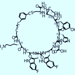 CC(C)[C@H]1C(=O)N[C@H](C(N)=O)CSCc2cccc(c2)CSCCC(=O)N[C@@H](CCCCN)C(=O)NCC(=O)N[C@@H](Cc2c[nH]c3ccc(F)cc23)C(=O)N[C@@H](Cc2c[nH]c3ccc(F)cc23)C(=O)N[C@@H](CC(=O)O)C(=O)N[C@@H](Cc2cnc[nH]2)C(=O)N[C@@H](Cc2ccc(O)cc2)C(=O)N1C